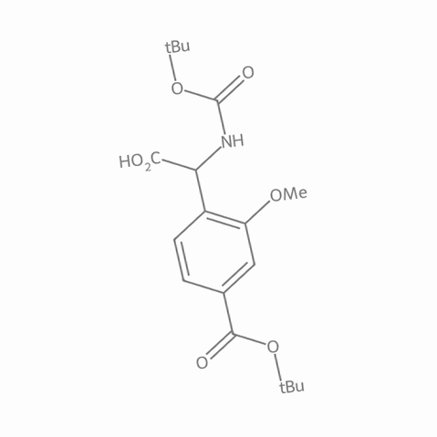 COc1cc(C(=O)OC(C)(C)C)ccc1C(NC(=O)OC(C)(C)C)C(=O)O